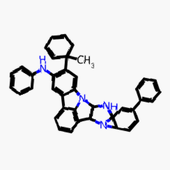 CC1(c2cc3c(cc2Nc2ccccc2)c2cccc4c2n3C2NC35C=C(c6ccccc6)C=CC3N5C42)C=CC=CC1